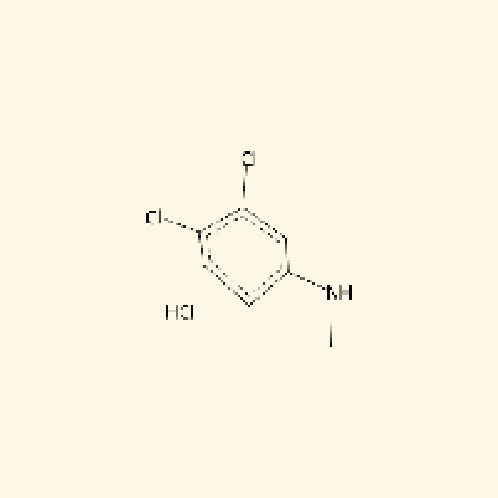 CNc1ccc(Cl)c(Cl)c1.Cl